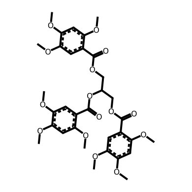 COc1cc(OC)c(C(=O)OCC(COC(=O)c2cc(OC)c(OC)cc2OC)OC(=O)c2cc(OC)c(OC)cc2OC)cc1OC